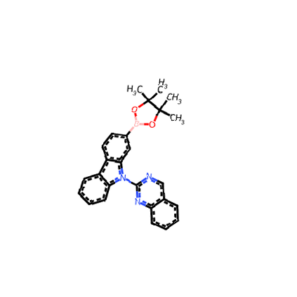 CC1(C)OB(c2ccc3c4ccccc4n(-c4ncc5ccccc5n4)c3c2)OC1(C)C